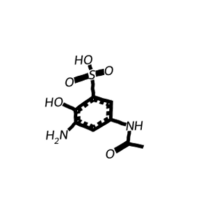 CC(=O)Nc1cc(N)c(O)c(S(=O)(=O)O)c1